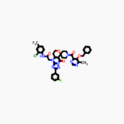 Cc1ncnc(C(=O)N2CCC3(CC2)OCCc2c3c(=O)n3nc(-c4cccc(F)c4)nc3n2CC(=O)Nc2ccc(C(F)(F)F)cc2Cl)c1OCc1ccccc1